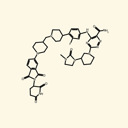 CN1CCN(C2CCCN(c3nnc(C(N)=O)c(Nc4ccc(C5CCN(CC6CCN(c7ccc8c(c7)C(=O)N(C7CCC(=O)NC7=O)C8=O)CC6)CC5)c(F)c4)n3)C2)C1=O